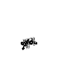 CC(C)(C)OC(=O)Nc1ccc2c(c1)S(O)(O)N=C(C1=C(O)c3ccccc3C(C)(CC3CCC3)C1=O)N2